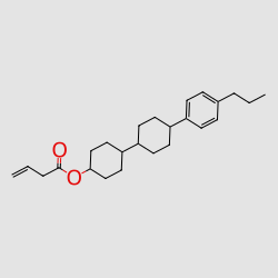 C=CCC(=O)OC1CCC(C2CCC(c3ccc(CCC)cc3)CC2)CC1